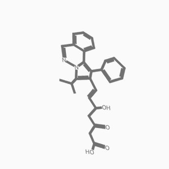 CC(C)c1c(/C=C/C(O)CC(=O)CC(=O)O)c(-c2ccccc2)c2c3ccccc3cnn12